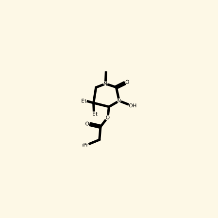 CCC1(CC)CN(C)C(=O)N(O)C1OC(=O)CC(C)C